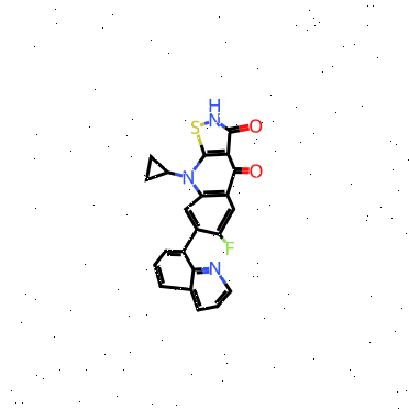 O=c1[nH]sc2c1c(=O)c1cc(F)c(-c3cccc4cccnc34)cc1n2C1CC1